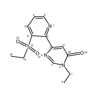 CCn1cnc(-c2ncccc2S(=O)(=O)CC)cc1=O